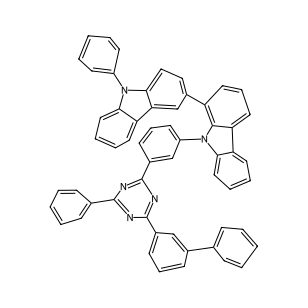 c1ccc(-c2cccc(-c3nc(-c4ccccc4)nc(-c4cccc(-n5c6ccccc6c6cccc(-c7ccc8c(c7)c7ccccc7n8-c7ccccc7)c65)c4)n3)c2)cc1